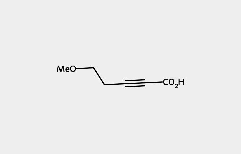 COCCC#CC(=O)O